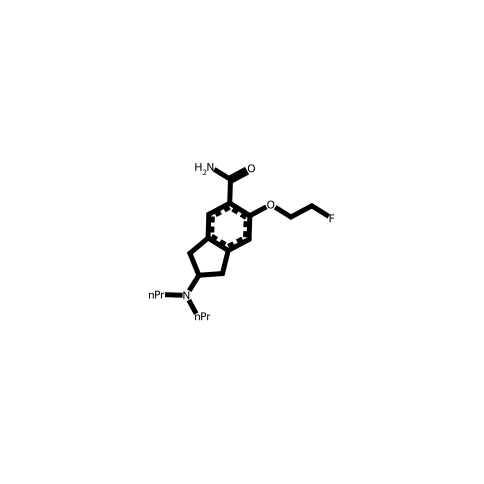 CCCN(CCC)C1Cc2cc(OCCF)c(C(N)=O)cc2C1